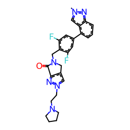 Cn1cc2c(-c3cc(F)c(CN4Cc5cn(CCN6CCCC6)nc5C4=O)c(F)c3)cccc2n1